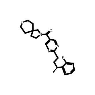 C[C@@H](CCc1ncc(C(=O)N2CCC3(CCOCC3)C2)cn1)c1ccccc1F